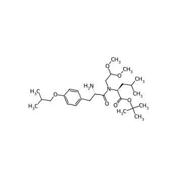 COC(CN(C(=O)[C@@H](N)Cc1ccc(OCC(C)C)cc1)[C@@H](CC(C)C)C(=O)OC(C)(C)C)OC